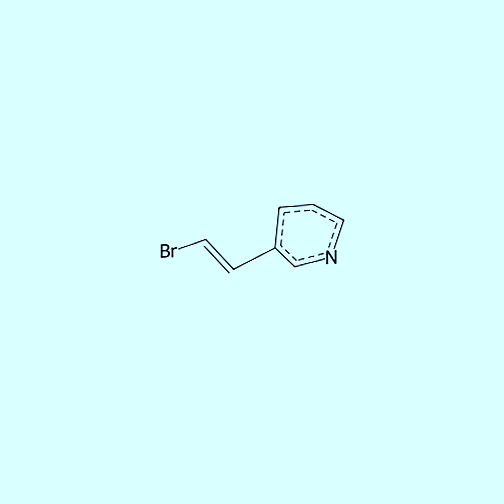 BrC=Cc1cccnc1